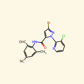 Cc1cc(C#N)cc(C=O)c1NC(=O)c1cc(Br)nn1-c1ncccc1Cl